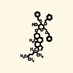 CC(C)CCC[C@@H](C)[C@H]1CCC2C3CC=C4CC(O[C@@H]5O[C@H](COCc6ccccc6)[C@@H](OCc6ccccc6)[C@H](OCc6ccccc6)[C@H]5O)CC[C@]4(C)C3CC[C@@]21C